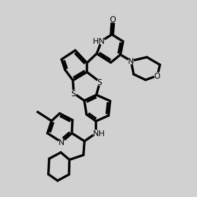 Cc1ccc(C(CC2CCCCC2)Nc2ccc3c(c2)Sc2cccc(-c4cc(N5CCOCC5)cc(=O)[nH]4)c2S3)nc1